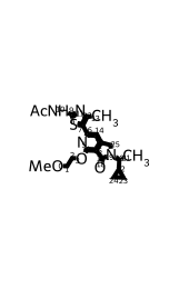 COCCOc1nc(-c2sc(NC(C)=O)nc2C)cc2c1C(=O)N([C@@H](C)C1CC1)C2